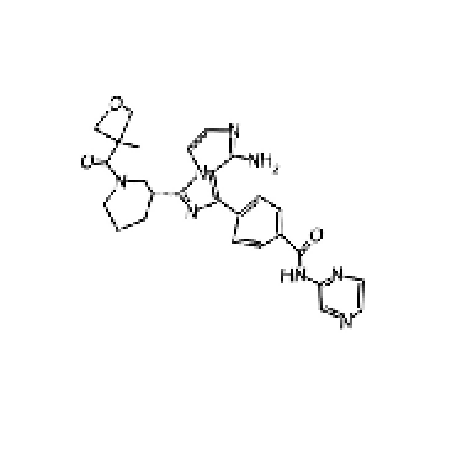 CC1(C(=O)N2CCC[C@@H](c3nc(-c4ccc(C(=O)Nc5cnccn5)cc4)c4c(N)nccn34)C2)COC1